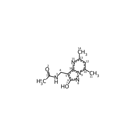 CC(=O)NCc1c(O)nn2c(C)cc(C)nc12